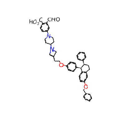 O=Cc1cc(N2CCC(N3CC(CCOc4ccc([C@@H]5c6ccc(OCc7ccccc7)cc6CC[C@@H]5c5ccccc5)cc4)C3)CC2)ccc1C(=O)O